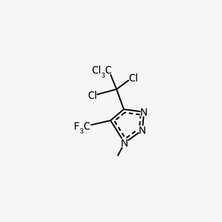 Cn1nnc(C(Cl)(Cl)C(Cl)(Cl)Cl)c1C(F)(F)F